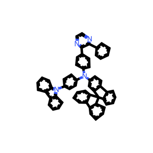 c1ccc(-c2nccnc2-c2ccc(N(c3ccc(-n4c5ccccc5c5ccccc54)cc3)c3ccc4c(c3)C3(c5ccccc5-c5ccccc53)c3ccccc3-4)cc2)cc1